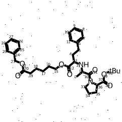 CC(NC(CCc1ccccc1)C(=O)OCCCCCC(=O)OCc1ccccc1)C(=O)N1CCCC1C(=O)OC(C)(C)C